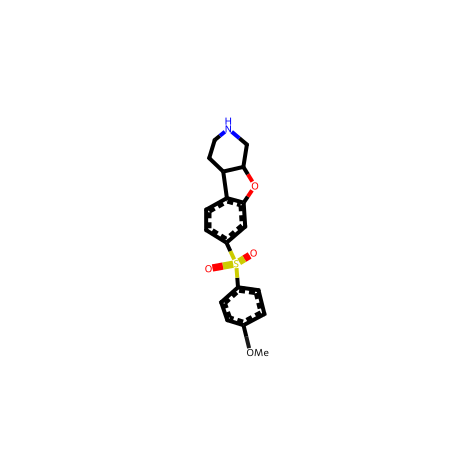 COc1ccc(S(=O)(=O)c2ccc3c(c2)OC2CNCCC32)cc1